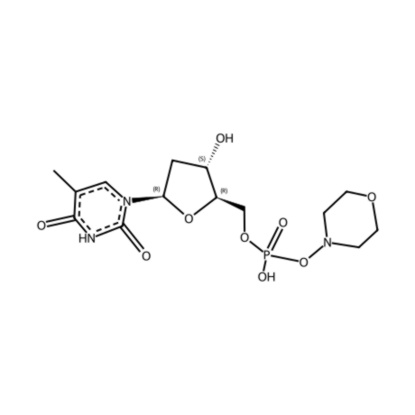 Cc1cn([C@H]2C[C@H](O)[C@@H](COP(=O)(O)ON3CCOCC3)O2)c(=O)[nH]c1=O